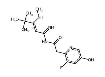 CN/C(=C\C(=N)NC(=O)Cc1ncc(O)cc1F)C(C)(C)C